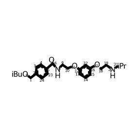 CC(C)COCc1ccc(C(=O)NCCOc2cccc(OCCNC(C)C)c2)cc1